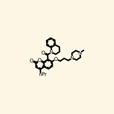 CCCc1cc(=O)oc2c(C(=O)N3CCCc4ccccc43)c(OCCCN3CCN(C)CC3)ccc12